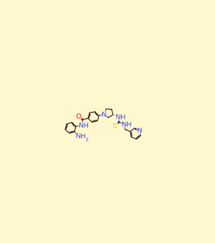 Nc1ccccc1NC(=O)c1ccc(N2CC[C@H](NC(=S)NCc3cccnc3)C2)cc1